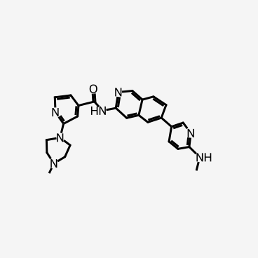 CNc1ccc(-c2ccc3cnc(NC(=O)c4ccnc(N5CCN(C)CC5)c4)cc3c2)cn1